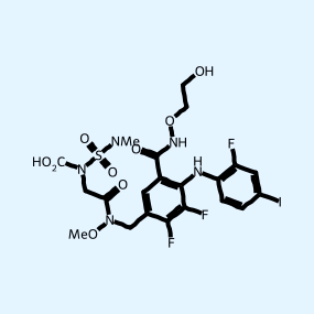 CNS(=O)(=O)N(CC(=O)N(Cc1cc(C(=O)NOCCO)c(Nc2ccc(I)cc2F)c(F)c1F)OC)C(=O)O